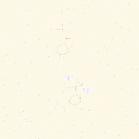 C[S+]([O-])C1(c2ccc(OCCN3CCC4(CC3)C(=O)Nc3ccc(C(F)F)cc34)cc2)CC(C)(O)C1